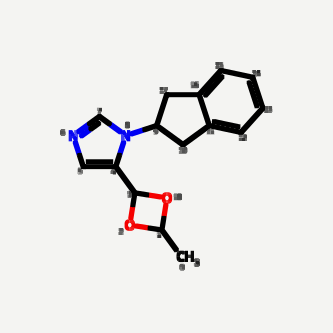 CC1OC(c2cncn2C2Cc3ccccc3C2)O1